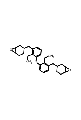 CCc1c(CC2CCC3OC3C2)cccc1Oc1cccc(CC2CCC3OC3C2)c1CC